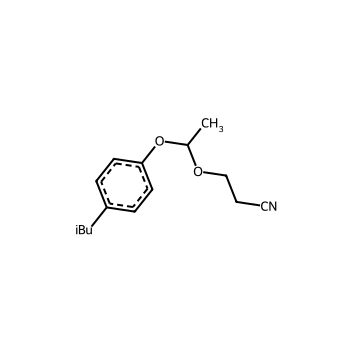 CCC(C)c1ccc(OC(C)OCCC#N)cc1